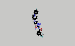 O=C(CNC(=O)c1cccc(C(F)(F)F)c1)N[C@@H]1CCN([C@H]2CCCN(c3ccc(F)cc3)CC2)C1